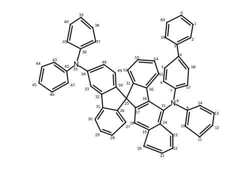 c1ccc(-c2ccc(N(c3ccccc3)c3c4c(cc5ccccc35)C3(c5ccccc5-c5cc(N(c6ccccc6)c6ccccc6)ccc53)c3ccccc3-4)cc2)cc1